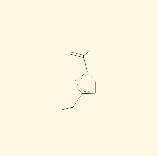 [CH2]Cc1csc(C(=O)O)n1